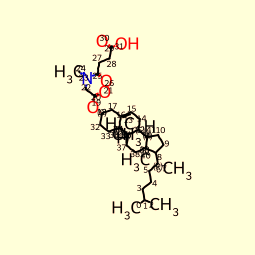 CC(C)CCC[C@@H](C)C1CC[C@H]2[C@]3(C)CC=C4C[C@@H](OC(=O)CN(C)C(=O)CCC(=O)O)CC[C@]4(C)[C@H]3CC[C@]12C